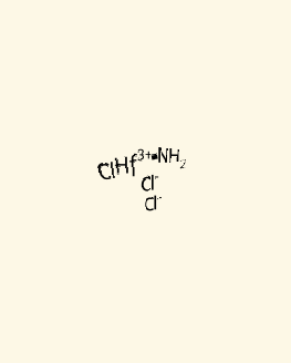 [Cl-].[Cl-].[Cl-].[NH2][Hf+3]